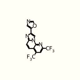 FC(F)(F)c1cc(C(F)(F)F)c2ccc3nc(-c4cnco4)cn3c2n1